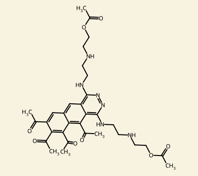 CC(=O)OCCNCCNc1nnc(NCCNCCOC(C)=O)c2c(C(C)=O)c3c(C(C)=O)c(C(C)=O)c(C(C)=O)cc3cc12